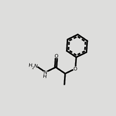 CC(Oc1ccccc1)C(=O)NN